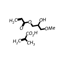 C=C(C)C(=O)O.C=CC(=O)OCC(O)COC